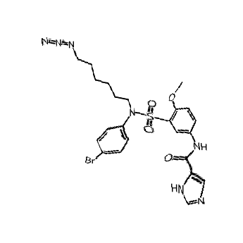 COc1ccc(NC(=O)c2cnc[nH]2)cc1S(=O)(=O)N(CCCCCCN=[N+]=[N-])c1ccc(Br)cc1